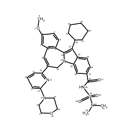 COc1ccc2c(c1)C=C(c1cccc(N3CCOCC3)n1)Cn1c-2c(C2CCCCC2)c2ccc(C(=O)NS(=O)(=O)N(C)C)cc21